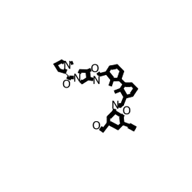 C#Cc1cc(C=O)cc2nc(-c3cccc(-c4cccc(-c5nc6c(o5)CN(C(=O)[C@@H]5CCCN5C)C6)c4C)c3C)oc12